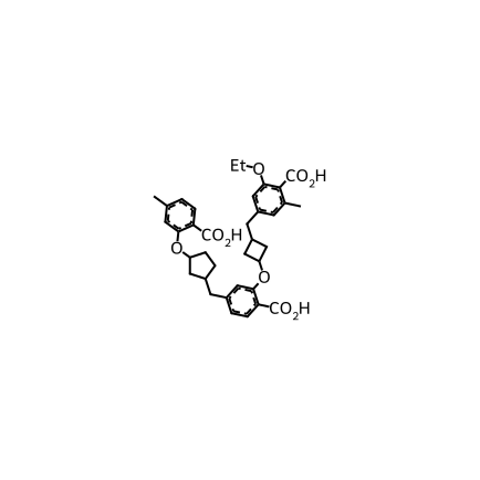 CCOc1cc(CC2CC(Oc3cc(CC4CCC(Oc5cc(C)ccc5C(=O)O)C4)ccc3C(=O)O)C2)cc(C)c1C(=O)O